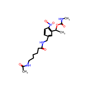 CNC(=O)OC(C)c1cc(CNC(=O)CCCCCNC(C)=O)ccc1[N+](=O)[O-]